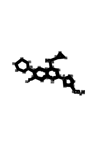 O=C(O)c1cnn(-c2nc(NC3CC3)c3cc(N4CCCCC4)c(F)cc3n2)c1